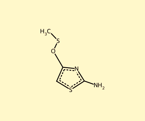 CSOc1csc(N)n1